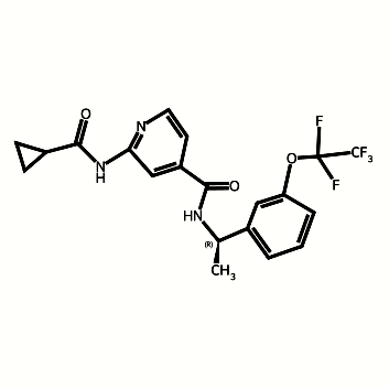 C[C@@H](NC(=O)c1ccnc(NC(=O)C2CC2)c1)c1cccc(OC(F)(F)C(F)(F)F)c1